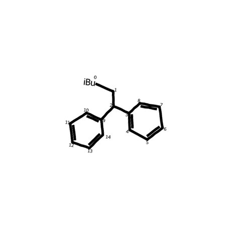 CCC(C)CC(c1ccccc1)c1ccccc1